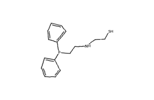 SCCNCCP(c1ccccc1)c1ccccc1